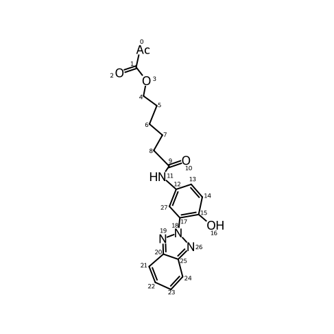 CC(=O)C(=O)OCCCCCC(=O)Nc1ccc(O)c(-n2nc3ccccc3n2)c1